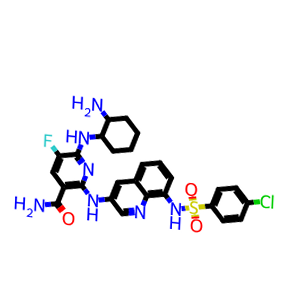 NC(=O)c1cc(F)c(NC2CCCCC2N)nc1Nc1cnc2c(NS(=O)(=O)c3ccc(Cl)cc3)cccc2c1